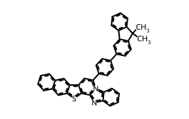 CC1(C)c2ccccc2-c2cc(-c3ccc(-c4cc5c6cc7ccccc7cc6sc5c5nc6ccccc6n45)cc3)ccc21